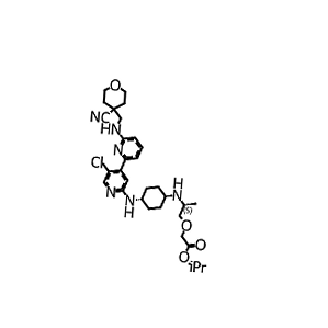 CC(C)OC(=O)COC[C@H](C)N[C@H]1CC[C@H](Nc2cc(-c3cccc(NCC4(C#N)CCOCC4)n3)c(Cl)cn2)CC1